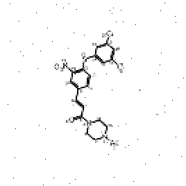 CC(=O)N1CCN(C(=O)C=Cc2ccc(Sc3cc(Cl)cc(Cl)c3)c([N+](=O)[O-])c2)CC1